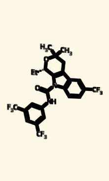 CC[C@@H]1OC(C)(C)Cc2c1n(C(=O)Nc1cc(C(F)(F)F)cc(C(F)(F)F)c1)c1ccc(C(F)(F)F)cc21